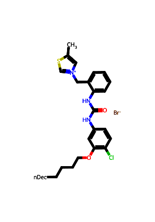 CCCCCCCCCCCCCCOc1cc(NC(=O)Nc2ccccc2C[n+]2csc(C)c2)ccc1Cl.[Br-]